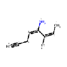 C#CC/C=C(N)\C(=C/C)CC